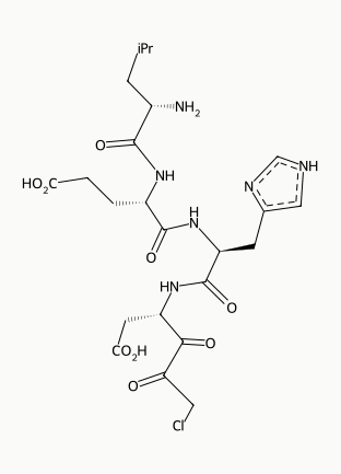 CC(C)C[C@H](N)C(=O)N[C@@H](CCC(=O)O)C(=O)N[C@@H](Cc1c[nH]cn1)C(=O)N[C@@H](CC(=O)O)C(=O)C(=O)CCl